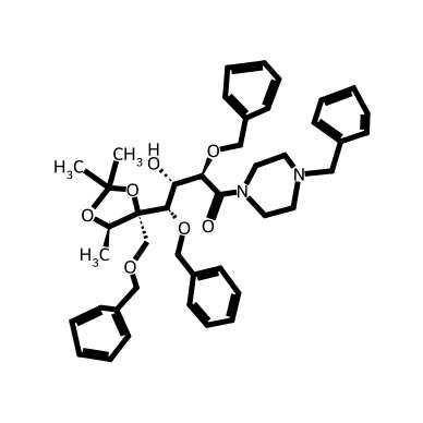 C[C@H]1OC(C)(C)O[C@@]1(COCc1ccccc1)[C@@H](OCc1ccccc1)[C@H](O)[C@@H](OCc1ccccc1)C(=O)N1CCN(Cc2ccccc2)CC1